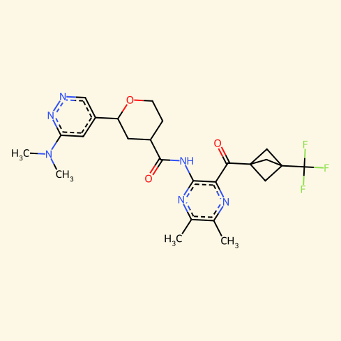 Cc1nc(NC(=O)C2CCOC(c3cnnc(N(C)C)c3)C2)c(C(=O)C23CC(C(F)(F)F)(C2)C3)nc1C